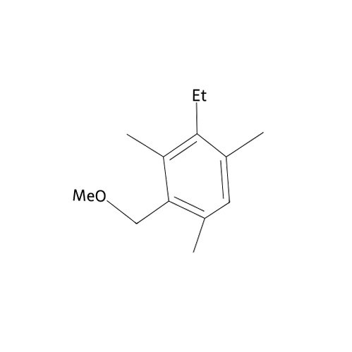 CCc1c(C)cc(C)c(COC)c1C